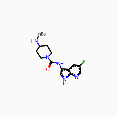 CCCCNC1CCN(C(=O)Nc2c[nH]c3ncc(F)cc23)CC1